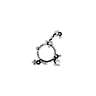 CCCCN1\C2=C/C=C/C=C/C3=Nc4c(cc(Br)c[n+]4CCOCCC(=O)NC(C(=O)NCCOCCC(=O)ON4C(=O)CCC4=O)CCCCNC(=O)CCOCCC2c2cc(S(=O)(=O)[O-])ccc21)C3(C)CCOC